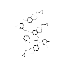 CC(Cc1cc(N(CCc2cc(Nc3ccc4c(c3)CN(CC3CC3)CC4)cn(C)c2=O)c2ccc(=O)n(C)c2)cc2c1CCN(CC1CC1)C2)N(c1ccc2c(c1)CN(CC1CC1)CC2)c1ccc(=O)n(C)c1